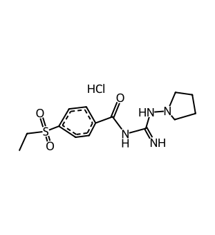 CCS(=O)(=O)c1ccc(C(=O)NC(=N)NN2CCCC2)cc1.Cl